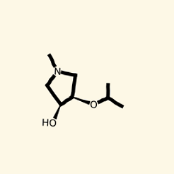 CC(C)O[C@@H]1CN(C)C[C@@H]1O